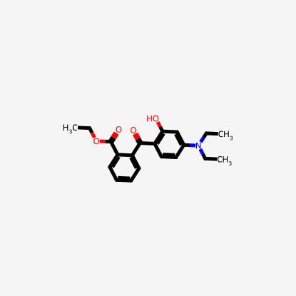 CCOC(=O)c1ccccc1C(=O)c1ccc(N(CC)CC)cc1O